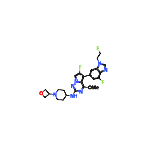 COc1nc(NC2CCN(C3COC3)CC2)nn2cc(F)c(-c3cc(F)c4ncn(CCF)c4c3)c12